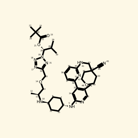 Cc1cnc(N[C@H]2CC[C@H](N[C@@H](C)COCc3nnn([C@H](OC(=O)C(C)(C)C)C(C)C)n3)CC2)cc1-c1cccc(NCC2(C#N)CCOCC2)n1